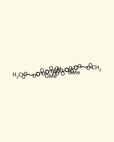 C=CC(=O)OCCCCOc1ccc(C(=O)Oc2ccc(C(=O)O[C@@H]3CO[C@H]4[C@@H]3OC[C@H]4OC(=O)c3ccc(OC(=O)c4ccc(OCCCCOC(=O)C=C)cc4)c(OC)c3)cc2OC)cc1